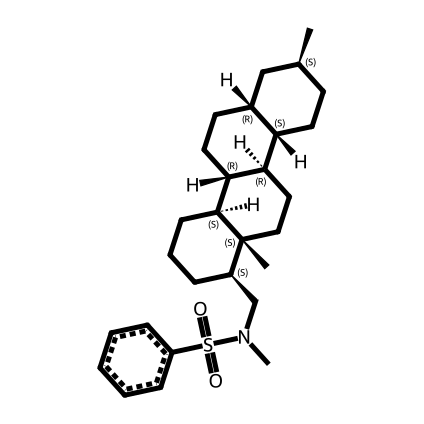 C[C@H]1CC[C@H]2[C@H](CC[C@@H]3[C@@H]2CC[C@]2(C)[C@@H](CN(C)S(=O)(=O)c4ccccc4)CCC[C@@H]32)C1